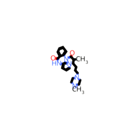 CC(CCCCN1CCN(C)CC1)C(=O)N1c2ccccc2C(=O)Nc2cccnc21